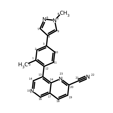 Cc1cc(-c2cnn(C)c2)ccc1-c1cncc2ccc(C#N)nc12